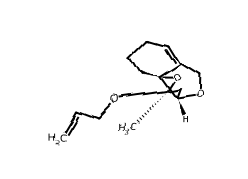 C=CCO[C@]1(C)C[C@@H]2OCC3=CCCC[C@]32O1